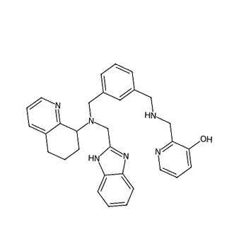 Oc1cccnc1CNCc1cccc(CN(Cc2nc3ccccc3[nH]2)C2CCCc3cccnc32)c1